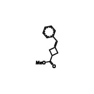 COC(=O)C1CC(=Cc2ccccc2)C1